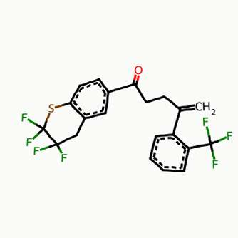 C=C(CCC(=O)c1ccc2c(c1)CC(F)(F)C(F)(F)S2)c1ccccc1C(F)(F)F